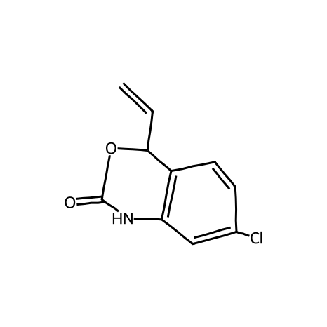 C=CC1OC(=O)Nc2cc(Cl)ccc21